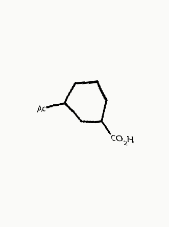 CC(=O)C1CCCC(C(=O)O)C1